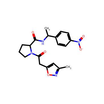 Cc1cc(CC(=O)N2CCCC2C(=O)NC(C)c2ccc([N+](=O)[O-])cc2)on1